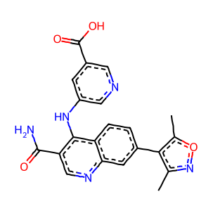 Cc1noc(C)c1-c1ccc2c(Nc3cncc(C(=O)O)c3)c(C(N)=O)cnc2c1